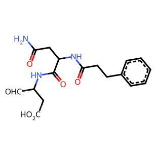 NC(=O)CC(NC(=O)CCc1ccccc1)C(=O)NC(C=O)CC(=O)O